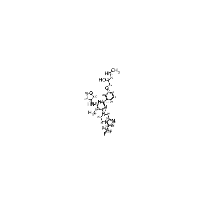 CNCC(O)COc1cccc(-c2nc(N[C@@H]3CCOC3)c(C)c(N3CCn4c(nnc4C(F)(F)F)C3)n2)c1